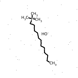 CCCCCCCCCCCC[P+](C)(C)C.[OH-]